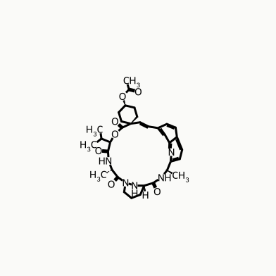 CC(=O)O[C@H]1CC[C@]2(/C=C/c3ccc4ccc(nc4c3)[C@@H](C)NC(=O)[C@@H]3CCCN(N3)C(=O)[C@H](C)NC(=O)C(C(C)C)OC2=O)CC1